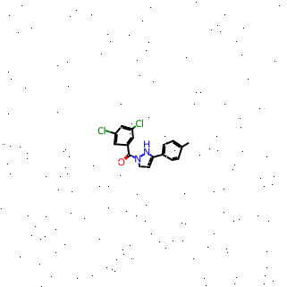 Cc1ccc(C2=CCN(C(=O)c3cc(Cl)cc(Cl)c3)N2)cc1